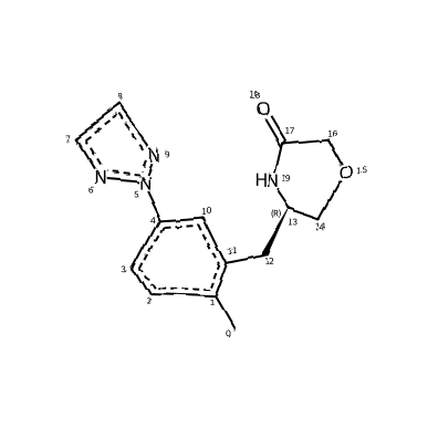 Cc1ccc(-n2nccn2)cc1C[C@@H]1COCC(=O)N1